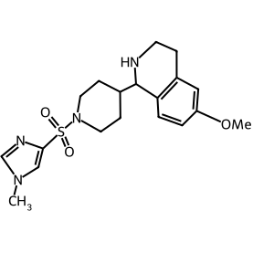 COc1ccc2c(c1)CCNC2C1CCN(S(=O)(=O)c2cn(C)cn2)CC1